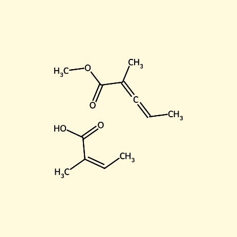 CC=C(C)C(=O)O.CC=C=C(C)C(=O)OC